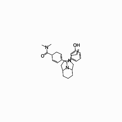 C=CCN1CCC2CCCC(C1)N2C(C1=CCC(C(=O)N(C)C)C=C1)c1cccc(O)c1